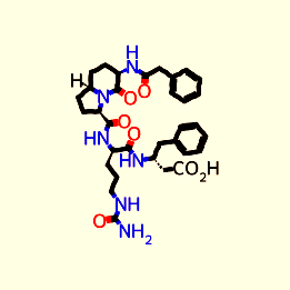 NC(=O)NCCC[C@@H](NC(=O)[C@H]1CC[C@H]2CC[C@@H](NC(=O)Cc3ccccc3)C(=O)N21)C(=O)N[C@@H](CC(=O)O)Cc1ccccc1